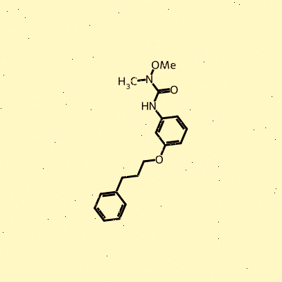 CON(C)C(=O)Nc1cccc(OCCCc2ccccc2)c1